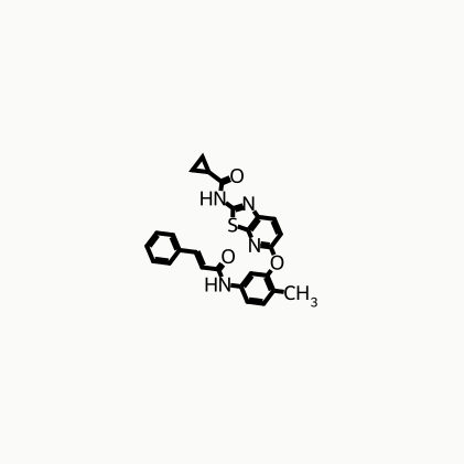 Cc1ccc(NC(=O)C=Cc2ccccc2)cc1Oc1ccc2nc(NC(=O)C3CC3)sc2n1